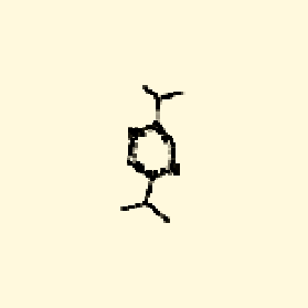 CC(C)c1cnc(C(C)C)cn1